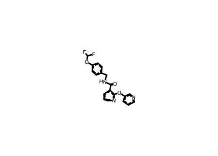 O=C(NCc1ccc(OC(F)F)cc1)c1cccnc1Oc1cccnc1